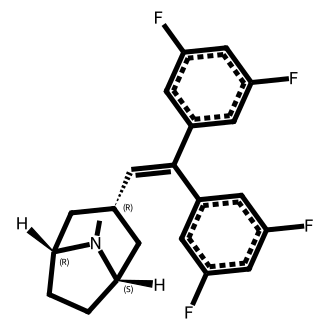 CN1[C@@H]2CC[C@H]1C[C@@H](C=C(c1cc(F)cc(F)c1)c1cc(F)cc(F)c1)C2